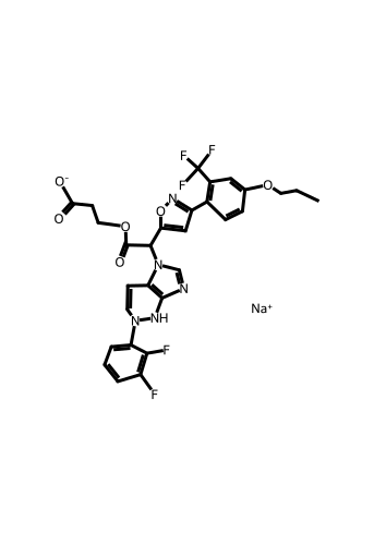 CCCOc1ccc(-c2cc(C(C(=O)OCCC(=O)[O-])n3cnc4c3C=CN(c3cccc(F)c3F)N4)on2)c(C(F)(F)F)c1.[Na+]